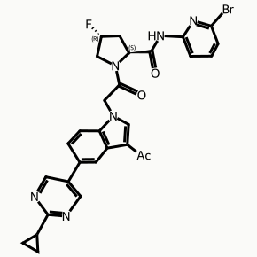 CC(=O)c1cn(CC(=O)N2C[C@H](F)C[C@H]2C(=O)Nc2cccc(Br)n2)c2ccc(-c3cnc(C4CC4)nc3)cc12